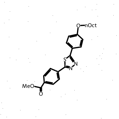 CCCCCCCCOc1ccc(-c2nnc(-c3ccc(C(=O)OC)cc3)s2)cc1